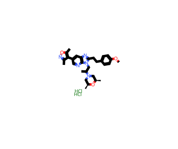 COc1ccc(CCc2nc3cc(-c4c(C)noc4C)cnc3n2CC(C)N2C[C@@H](C)O[C@@H](C)C2)cc1.Cl.Cl